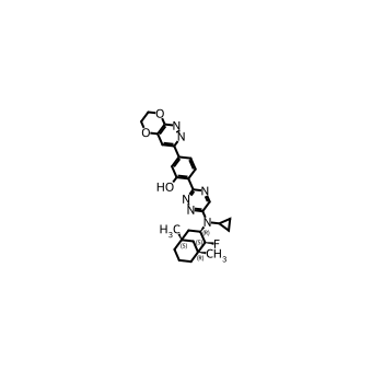 C[C@]12CCC[C@](C)(C1)[C@H](F)[C@H](N(c1cnc(-c3ccc(-c4cc5c(nn4)OCCO5)cc3O)nn1)C1CC1)C2